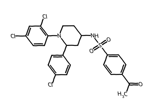 CC(=O)c1ccc(S(=O)(=O)NC2CCN(c3ccc(Cl)cc3Cl)C(c3ccc(Cl)cc3)C2)cc1